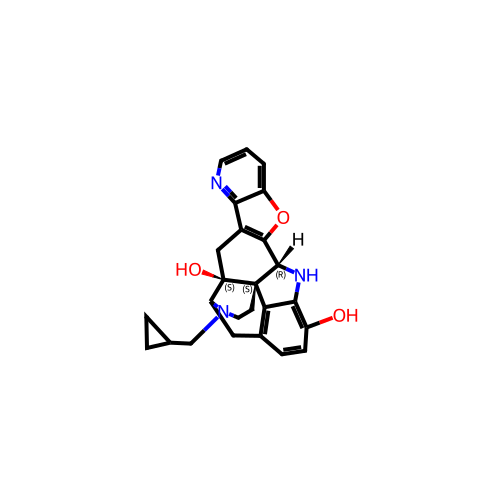 Oc1ccc2c3c1N[C@H]1c4oc5cccnc5c4C[C@@]4(O)C(C2)N(CC2CC2)CC[C@]314